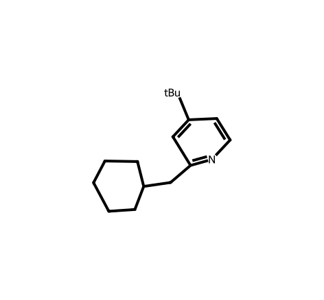 CC(C)(C)c1ccnc(CC2CCCCC2)c1